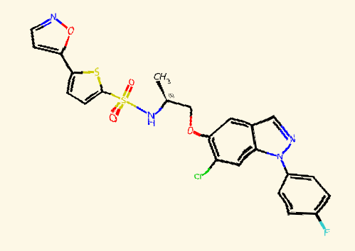 C[C@@H](COc1cc2cnn(-c3ccc(F)cc3)c2cc1Cl)NS(=O)(=O)c1ccc(-c2ccno2)s1